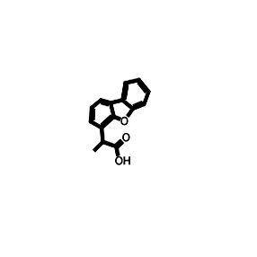 CC(C(=O)O)c1cccc2c1oc1ccccc12